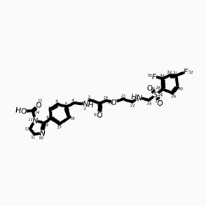 O=C(CNCc1ccc(C2=NCCN2C(=O)O)cc1)COCCNCS(=O)(=O)c1ccc(F)cc1F